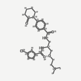 CN(C)CCOCC(CNC(=O)c1ccc(N2CCCCC2=O)cc1)NC(=O)c1ccc(Cl)s1